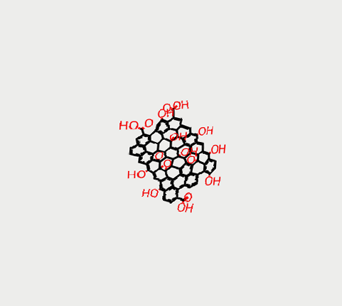 O=C(O)C1=CC2=Cc3c4c5c6c(c3O)=CC3=C(O)c7ccc(O)c8c7C79OC37C=6C3c6c9c7c-8ccc8c9c(C(=O)O)ccc%10c(O)c%11c%12c(c(c6C6C%13C%14C%15=c%16c%17c%18c(ccc%19cc(C(=O)O)c%20c(c%19%18)C%18C%19c%21c-%20cc(O)c1c%21C2C4C%19(O)C(=C5C3%13O)C%141OC%17%181)cc%16=C(O)C(=C%11)C%151OC%1261)c78)c%109